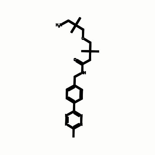 Cc1nnc(-c2ccc(CNC(=O)CC(C)(C)COCC(C)(C)CN)cc2)nn1